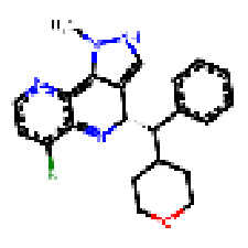 CN1NC=C2C1=c1nccc(Br)c1=N[C@H]2C(c1ccccc1)C1CCOCC1